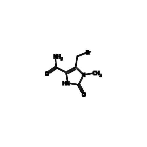 Cn1c(CBr)c(C(N)=O)[nH]c1=O